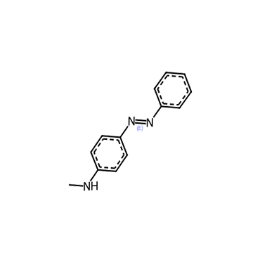 CNc1ccc(/N=N/c2ccccc2)cc1